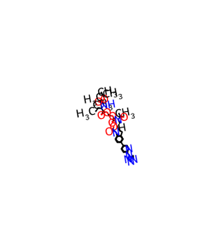 CC[C@H](C)[C@@H](NC(=O)OC(C)(C)C)C(=O)OCOC(=O)N(C[C@@H]1OC(=O)N2c3ccc(-c4ccc(-n5cnnn5)nc4)cc3C[C@@H]12)C(C)=O